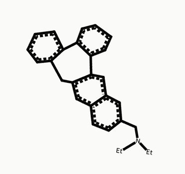 CCN(CC)Cc1ccc2cc3c(cc2c1)-c1ccccc1-c1ccccc1C3